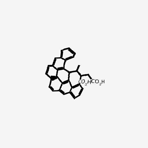 CC(C(CC(=O)O)C(=O)O)C(c1c2ccccc2cc2ccccc12)c1c2ccccc2cc2ccccc12